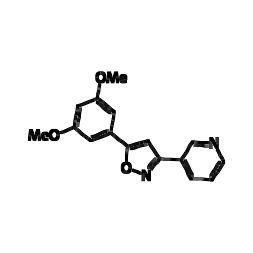 COc1cc(OC)cc(-c2cc(-c3cccnc3)no2)c1